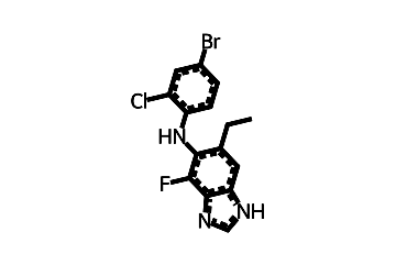 CCc1cc2[nH]cnc2c(F)c1Nc1ccc(Br)cc1Cl